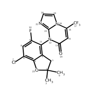 CC1(C)Cc2c(c(Cl)cc(F)c2-n2c(=O)cc(C(F)(F)F)n3ccnc23)O1